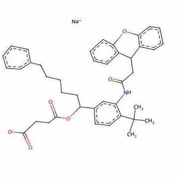 CC(C)(C)c1ccc(C(CCCCCc2ccccc2)OC(=O)CCC(=O)[O-])cc1NC(=O)CC1c2ccccc2Oc2ccccc21.[Na+]